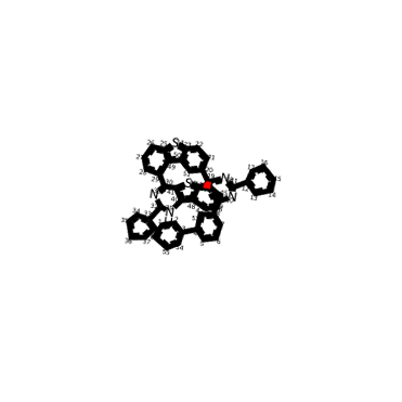 c1ccc(-c2cccc(-c3nc(-c4ccccc4)nc(-c4ccc5sc6cccc(C7=NC(c8ccccc8)Nc8c7sc7ccccc87)c6c5c4)n3)c2)cc1